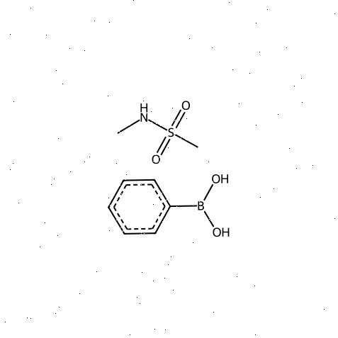 CNS(C)(=O)=O.OB(O)c1ccccc1